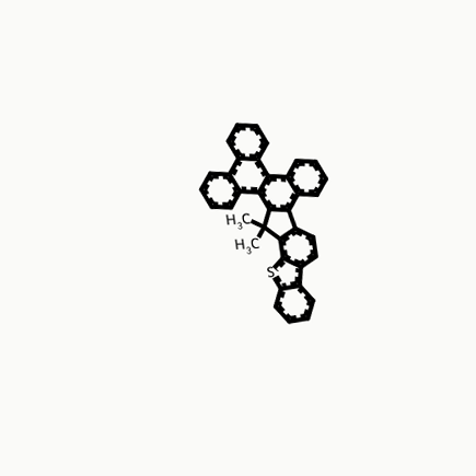 CC1(C)c2c(ccc3c2sc2ccccc23)-c2c1c1c3ccccc3c3ccccc3c1c1ccccc21